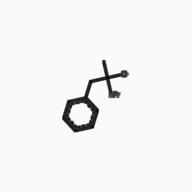 CCCC(C)([O])Cc1ccccc1